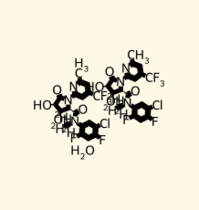 O.[2H]C([2H])([2H])N(C(=O)[C@@H]1[C@H](O)[C@H](O)C(=O)N1c1cc(C(F)(F)F)cc(C)n1)c1cc(Cl)c(F)cc1F.[2H]C([2H])([2H])N(C(=O)[C@@H]1[C@H](O)[C@H](O)C(=O)N1c1cc(C(F)(F)F)cc(C)n1)c1cc(Cl)c(F)cc1F